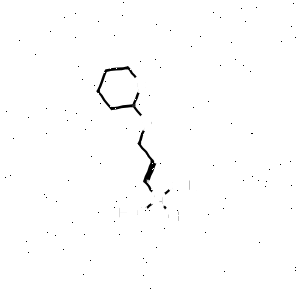 C[Si](C)(C)C=CCOC1CCCCO1